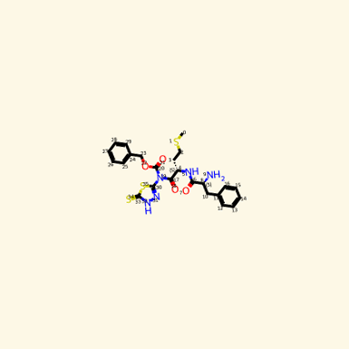 CSCC[C@H](NC(=O)[C@@H](N)Cc1ccccc1)C(=O)N(C(=O)OCc1ccccc1)c1n[nH]c(=S)s1